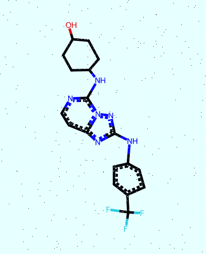 OC1CCC(Nc2nccc3nc(Nc4ccc(C(F)(F)F)cc4)nn23)CC1